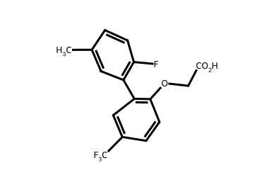 Cc1ccc(F)c(-c2cc(C(F)(F)F)ccc2OCC(=O)O)c1